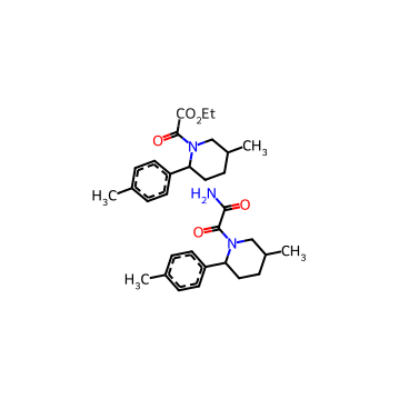 CCOC(=O)C(=O)N1CC(C)CCC1c1ccc(C)cc1.Cc1ccc(C2CCC(C)CN2C(=O)C(N)=O)cc1